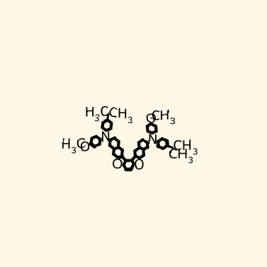 COc1ccc(N(c2ccc(C(C)C)cc2)c2ccc3cc4c(cc3c2)oc2ccc3oc5cc6cc(N(c7ccc(OC)cc7)c7ccc(C(C)C)cc7)ccc6cc5c3c24)cc1